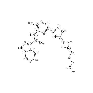 COCCSN1CC(c2nc(-c3ccc(F)c(NC(=O)c4cnc5ccccn45)c3)no2)C1